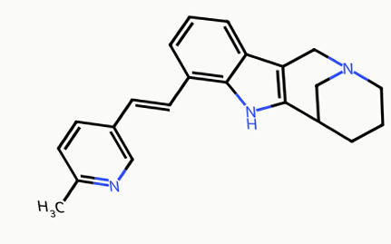 Cc1ccc(C=Cc2cccc3c4c([nH]c23)C2CCCN(C4)C2)cn1